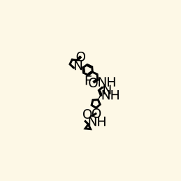 CC1(NC(=O)O[C@@H]2CC[C@@H](c3cc(NC(=O)Cc4ccc(N5CCCC5=O)cc4F)n[nH]3)C2)CC1